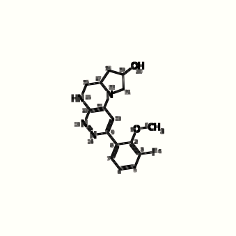 COc1c(F)cccc1-c1cc2c(nn1)NCC1CC(O)CN21